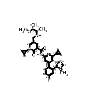 CO[C@@H](C)[C@H](C)NCc1cc(C(=O)Nc2cc(-c3ccc(F)cc3-c3nncn3C)cc(C3CC3)n2)c(=O)n(C2CC2)c1